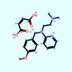 COc1ccc(CN(CCN(C)C)c2ccccn2)cc1.O=C(O)/C=C\C(=O)O